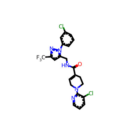 O=C(NCc1cc(C(F)(F)F)nn1-c1cccc(Cl)c1)C1=CCN(c2ncccc2Cl)CC1